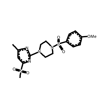 COc1ccc(S(=O)(=O)N2CCN(c3nc(C)cc(S(C)(=O)=O)n3)CC2)cc1